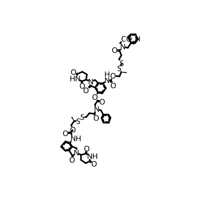 C[C@H](COC(=O)Nc1cccc2c1CN(C1CCC(=O)NC1=O)C2=O)SSCCC(=O)N(CC(=O)Oc1ccc(NC(=O)OC[C@H](C)SSCCC(=O)N(CC(=O)O)Cc2ccccc2)c2c1C(=O)N(C1CCC(=O)NC1=O)C2)Cc1ccccc1